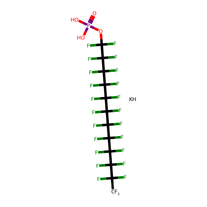 O=P(O)(O)OC(F)(F)C(F)(F)C(F)(F)C(F)(F)C(F)(F)C(F)(F)C(F)(F)C(F)(F)C(F)(F)C(F)(F)C(F)(F)C(F)(F)F.[KH]